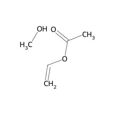 C=COC(C)=O.CO